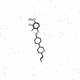 C/C=C/C1CCC(C2CCC(COc3ccc(OC)c(F)c3C)CC2)CO1